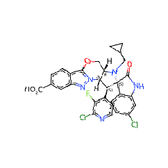 O=C(O)c1ccc2c3n(nc2c1)[C@@H]1[C@H](CO3)N(CC2CC2)[C@@]2(C(=O)Nc3cc(Cl)ccc32)[C@H]1c1ccnc(Cl)c1F